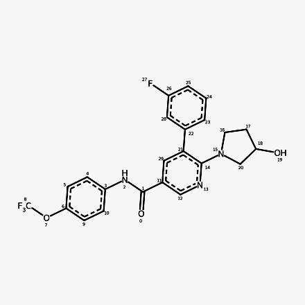 O=C(Nc1ccc(OC(F)(F)F)cc1)c1cnc(N2CCC(O)C2)c(-c2cccc(F)c2)c1